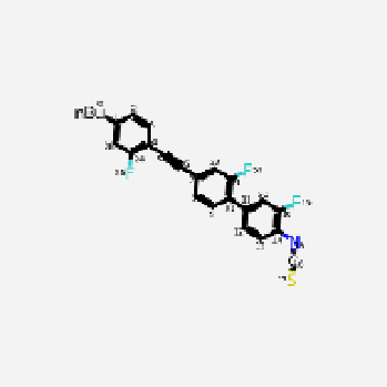 CCCCc1ccc(C#Cc2ccc(-c3ccc(N=C=S)c(F)c3)c(F)c2)c(F)c1